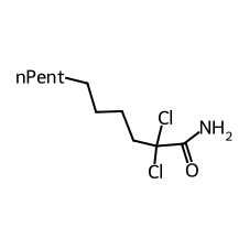 CCCCCCCCCC(Cl)(Cl)C(N)=O